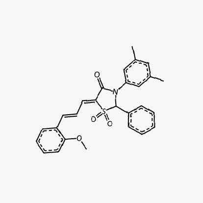 COc1ccccc1/C=C/C=C1/C(=O)N(c2cc(C)cc(C)c2)C(c2ccccc2)S1(=O)=O